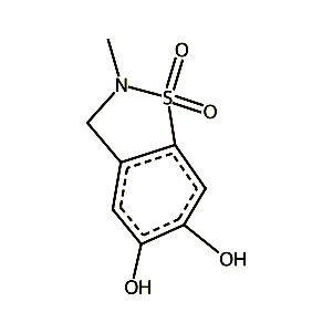 CN1Cc2cc(O)c(O)cc2S1(=O)=O